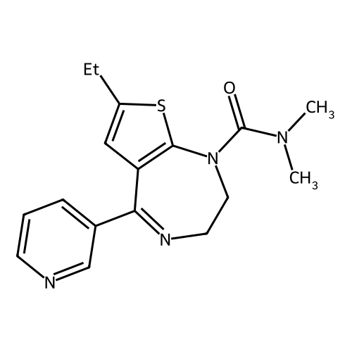 CCc1cc2c(s1)N(C(=O)N(C)C)CCN=C2c1cccnc1